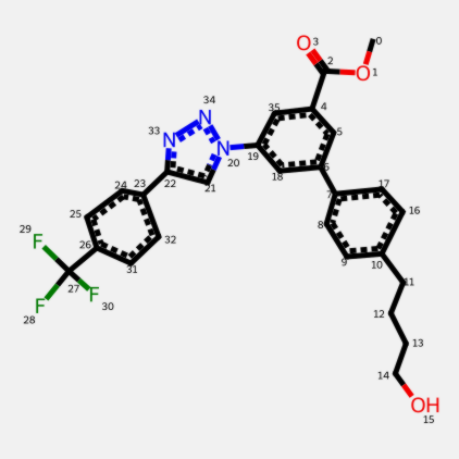 COC(=O)c1cc(-c2ccc(CCCCO)cc2)cc(-n2cc(-c3ccc(C(F)(F)F)cc3)nn2)c1